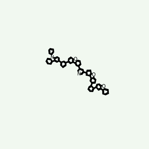 c1ccc(-n2c3ccccc3c3cc(-c4cccc(-c5ccc6oc7ccc(-c8cncc(-c9ccc%10oc%11ccc(-c%12ccccc%12-c%12ccc%13oc%14ccccc%14c%13c%12)cc%11c%10c9)c8)cc7c6c5)c4)ccc32)cc1